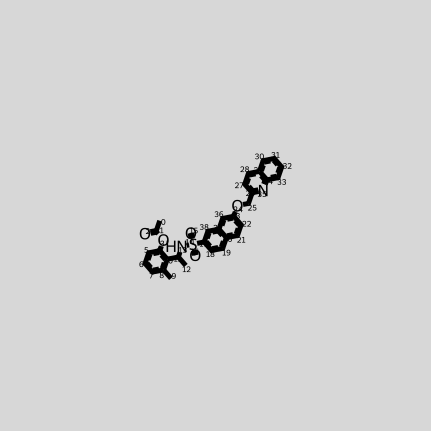 CC(=O)Oc1cccc(C)c1C(C)NS(=O)(=O)c1ccc2ccc(OCc3ccc4ccccc4n3)cc2c1